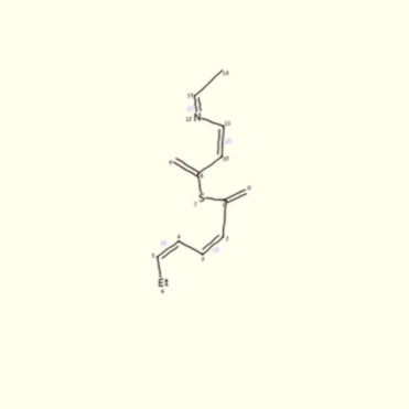 C=C(/C=C\C=C/CC)SC(=C)/C=C\N=C/C